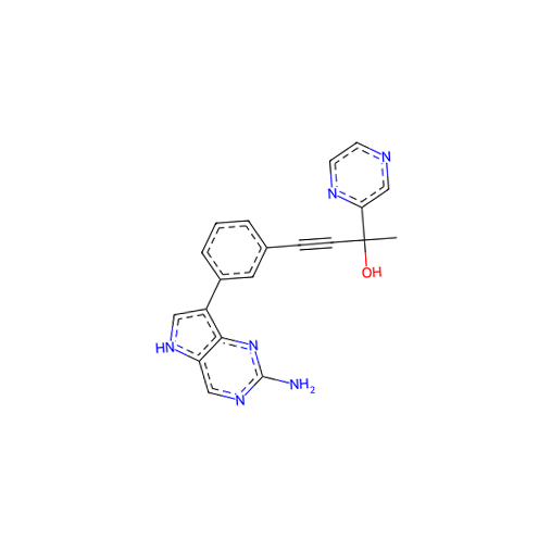 CC(O)(C#Cc1cccc(-c2c[nH]c3cnc(N)nc23)c1)c1cnccn1